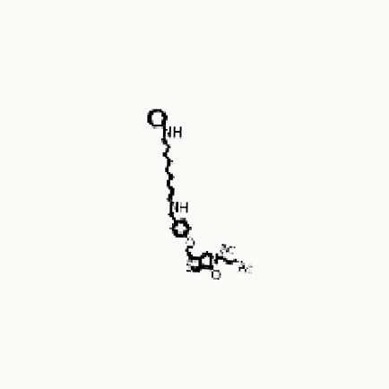 CC(=O)CC[C@@H](C(C)=O)N1Cc2c(csc2COc2ccc(CNCCCCCCCCCNC3CCCCC3)cc2)C1=O